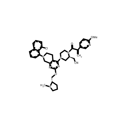 C=C(C(=O)N1CCN(c2nc(OC[C@@H]3CCCN3C)nc3c2CCN(c2cccc4cccc(Cl)c24)C3)C[C@@H]1CC#N)c1ccc(OC)nc1